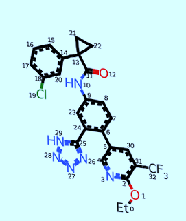 CCOc1ncc(-c2ccc(NC(=O)C3(c4cccc(Cl)c4)CC3)cc2-c2nnn[nH]2)cc1C(F)(F)F